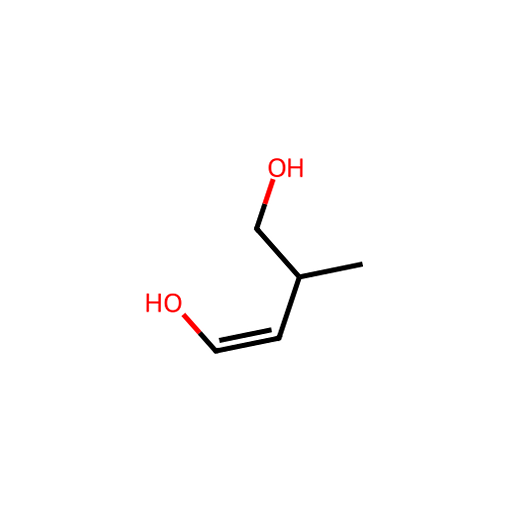 CC(/C=C\O)CO